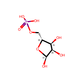 O=P(O)(O)OC[C@H]1O[C@H](O)[C@H](O)[C@@H]1O